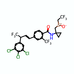 O=C(NC1(C[S+]([O-])CC(F)(F)F)CC1)c1ccc(C=CC(c2cc(Cl)c(Cl)c(Cl)c2)C(F)(F)F)cc1C(F)(F)F